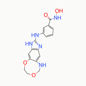 O=C(NO)c1cccc(Nc2nc3cc4c(cc3[nH]2)OCCOCN4)c1